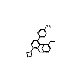 C=CC1=CC=C2Cc3c(C4CCC4)ccc(-c4cnc(N)cn4)c3C1C2